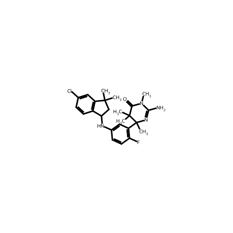 CN1C(=O)C(C)(C)C(C)(c2cc(NC3CC(C)(C)c4cc(Cl)ccc43)ccc2F)N=C1N